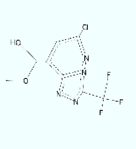 COC(O)c1cc(Cl)nn2c(C(F)(F)F)nnc12